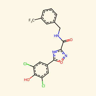 O=C(NCc1cccc(C(F)(F)F)c1)c1noc(-c2cc(Cl)c(O)c(Cl)c2)n1